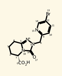 O=C(O)[C@@H]1CCCc2nn(Cc3ccc(Br)cn3)c(=O)n21